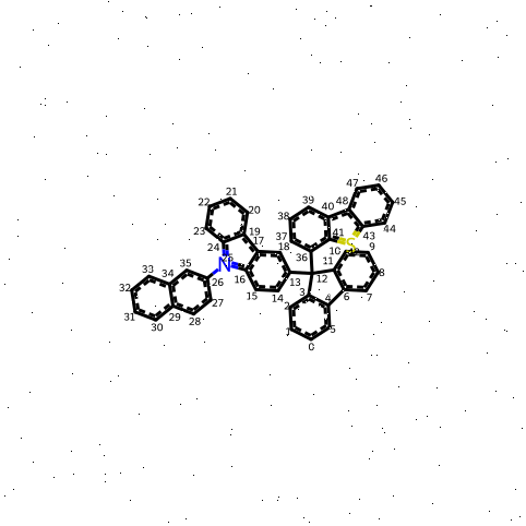 c1ccc2c(c1)-c1ccccc1C2(c1ccc2c(c1)c1ccccc1n2-c1ccc2ccccc2c1)c1cccc2c1sc1ccccc12